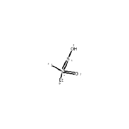 CCS(=O)(I)=BO